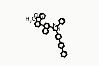 CC1(C)C2=C(CCC=C2)c2c(-c3ccc(-c4cc(-c5ccc(-c6ccc(-c7ccccc7)cc6)cc5)nc(-c5ccccc5)n4)c4ccccc34)cccc21